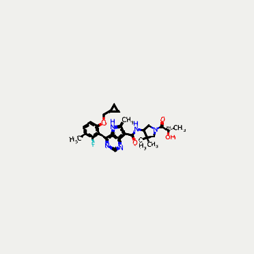 Cc1ccc(OCC2CC2)c(-c2ncnc3c(C(=O)NC4CN(C(=O)[C@H](C)O)CC4(C)C)c(C)[nH]c23)c1F